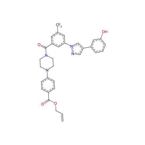 C=CCOC(=O)c1ccc(N2CCN(C(=O)c3cc(-n4cc(-c5cccc(O)c5)cn4)cc(C(F)(F)F)c3)CC2)cc1